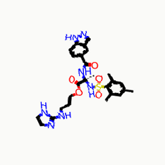 Cc1cc(C)c(S(=O)(=O)N[C@](C)(NC(=O)c2ccc3[nH]ncc3c2)C(=O)OCCCNC2=NCCN2)c(C)c1